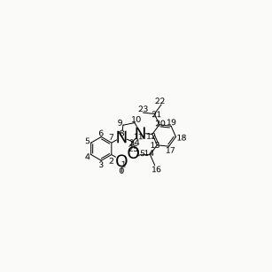 COc1ccccc1N1CCN(c2c(C(C)C)cccc2C(C)C)C1=O